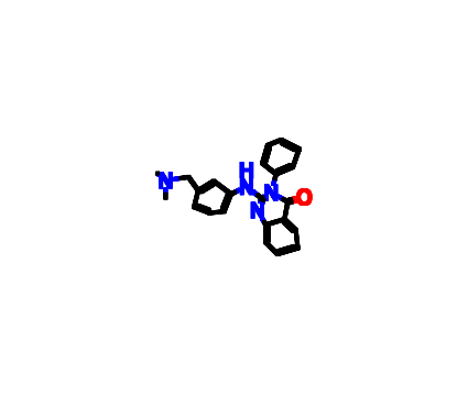 CN(C)Cc1cccc(Nc2nc3ccccc3c(=O)n2-c2ccccc2)c1